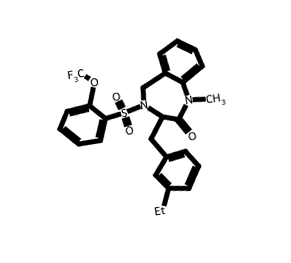 CCc1cccc(CC2C(=O)N(C)c3ccccc3CN2S(=O)(=O)c2ccccc2OC(F)(F)F)c1